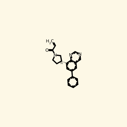 C=CC(=O)N1CC[C@@H](c2cc(-c3ccccc3)cc3cncnc23)C1